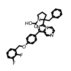 O=C(O)N1CCCC1(Cc1ccccc1)c1nc(-c2ccc(OCc3cccc(F)c3F)cc2)c2cnccn12